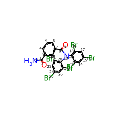 NC(=O)c1cccc(C(=O)N(c2c(Br)cc(Br)cc2Br)c2c(Br)cc(Br)cc2Br)c1